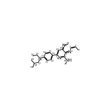 C\C=C/N=C1/C(NC)=NC(c2ccc(N(CC)CC(C)C)cc2)=C/C1=N/C